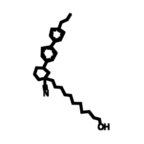 CCCc1ccc(-c2ccc(C3CCCC(C#N)(CCCCCCCCCCCO)C3)cc2)cc1